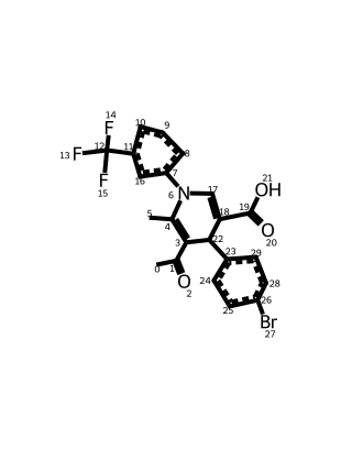 CC(=O)C1=C(C)N(c2cccc(C(F)(F)F)c2)C=C(C(=O)O)C1c1ccc(Br)cc1